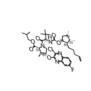 C=CCCC[C@@H]1[C@@H](C)[C@@H](C)C[C@H]1OC(=O)N[C@H](C(=O)N1C[C@H](Oc2nc3cc(F)ccc3nc2Cl)[C@@H](C)[C@H]1C(=O)OCC(C)C)C(C)(C)C